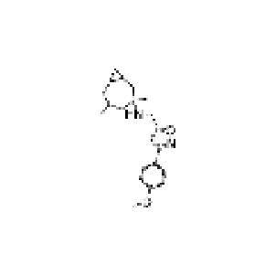 COc1ccc(-c2cc(CNC3(C)CC(C)CC4CC4C3)on2)cc1